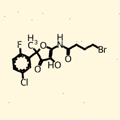 CC1(c2cc(Cl)ccc2F)OC(NC(=O)CCCBr)=C(O)C1=O